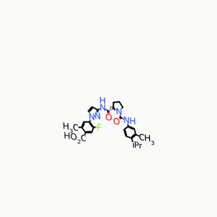 Cc1cc(-n2ccc(NC(=O)[C@@H]3CCCN3C(=O)Nc3ccc(C(C)C)c(C)c3)n2)c(F)cc1C(=O)O